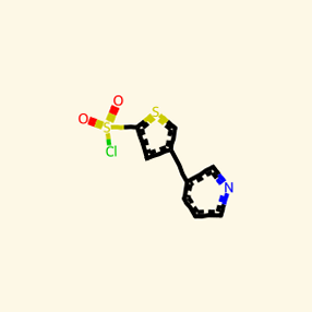 O=S(=O)(Cl)c1cc(-c2cccnc2)cs1